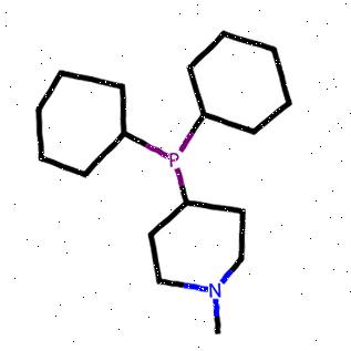 CN1CCC(P(C2CCCCC2)C2CCCCC2)CC1